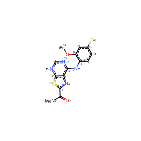 CNC(=O)c1nc2c(Nc3ccc(F)cc3OC(C)C)ncnc2s1